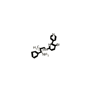 C[C@@H](CNc1ccc(Br)c(-c2ccncc2)n1)[C@H](N)c1ccccc1